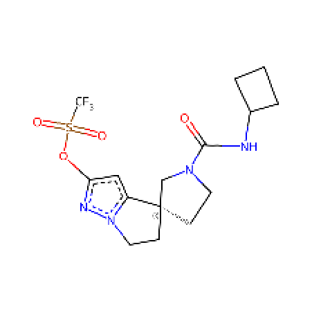 O=C(NC1CCC1)N1CC[C@@]2(CCn3nc(OS(=O)(=O)C(F)(F)F)cc32)C1